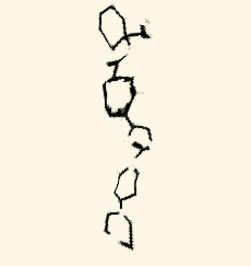 NC(=O)C1(NC(=O)c2ccc(C3CSC(N4CCC(N5CCOCC5)CC4)=N3)cc2)CCCCC1